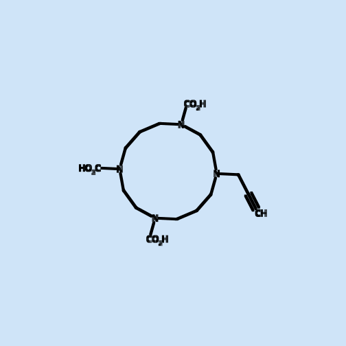 C#CCN1CCCN(C(=O)O)CCN(C(=O)O)CCCN(C(=O)O)CC1